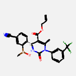 C=CCOC(=O)C1=C(C)N(c2cccc(C(F)(F)F)c2)C(=O)N[C@@H]1c1ccc(C#N)cc1[S+](C)[O-]